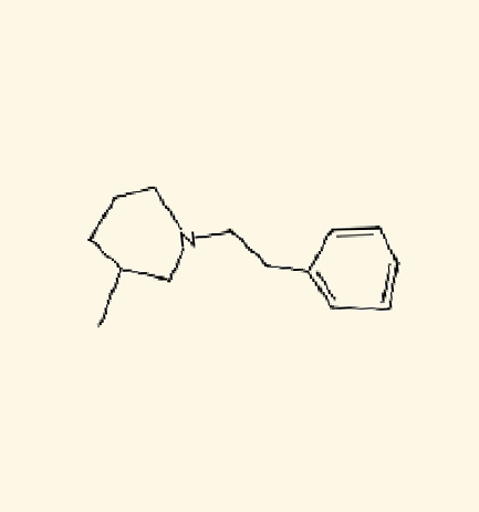 CC1CCCN(CCc2ccccc2)C1